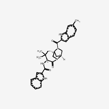 Cc1ccc2cc(C(=O)N3C[C@@H]4C[C@@]35CN4C(=O)[C@@H](NC(=O)c3cc4ccccc4[nH]3)C(C)(C)C5)[nH]c2c1